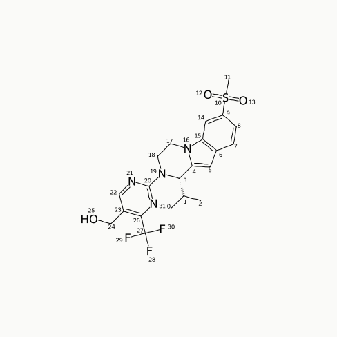 CC(C)[C@H]1c2cc3ccc(S(C)(=O)=O)cc3n2CCN1c1ncc(CO)c(C(F)(F)F)n1